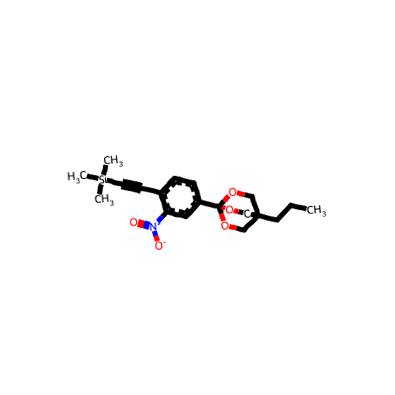 CCCC12COC(c3ccc(C#C[Si](C)(C)C)c([N+](=O)[O-])c3)(OC1)OC2